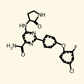 NC(=O)c1cc(NC2CCNC2=O)nc(-c2ccc(Oc3ccc(Cl)cc3F)cc2)n1